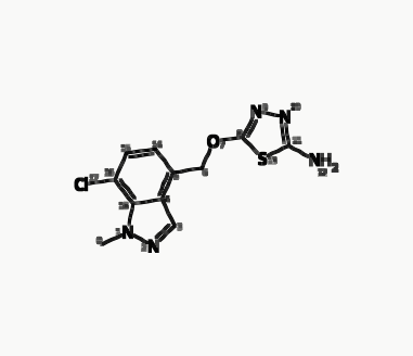 Cn1ncc2c(COc3nnc(N)s3)ccc(Cl)c21